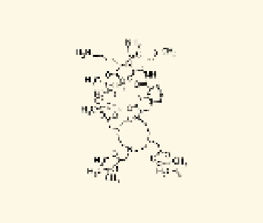 CSCC[C@H](NC(=O)c1cccc(CC(C(N)=O)N2CCN(CC(=O)OC(C)(C)C)CCN(CC(=O)OC(C)(C)C)CCN(CC(=O)OC(C)(C)C)CC2)c1)C(=O)N(C(=O)CN)[C@@H](CCCCN)C(=O)OC(C)(C)C